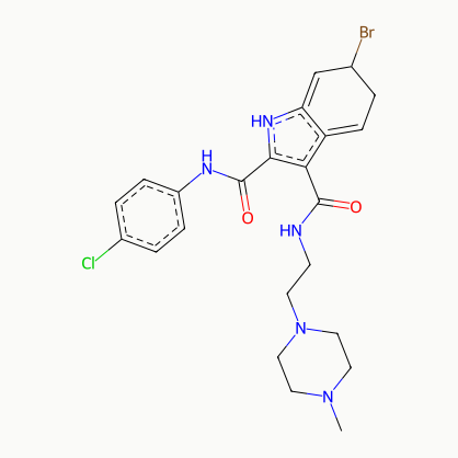 CN1CCN(CCNC(=O)c2c(C(=O)Nc3ccc(Cl)cc3)[nH]c3c2=CCC(Br)C=3)CC1